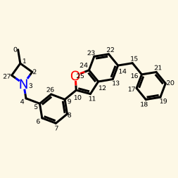 CC1CN(Cc2cccc(-c3cc4cc(Cc5ccccc5)ccc4o3)c2)C1